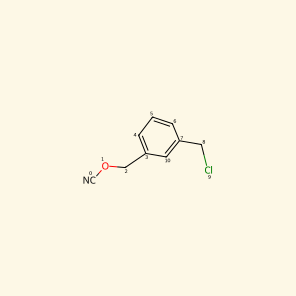 N#COCc1cccc(CCl)c1